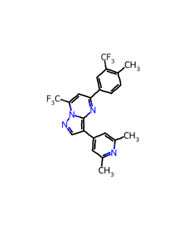 Cc1cc(-c2cnn3c(C(F)(F)F)cc(-c4ccc(C)c(C(F)(F)F)c4)nc23)cc(C)n1